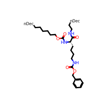 CCCCCCCCCCCCCCCCOC(=O)N[C@@H](CCCCNC(=O)OCc1ccccc1)C(=O)NCCCCCCCCCCCC